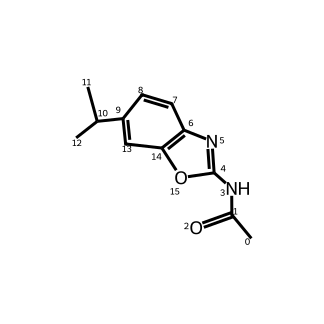 CC(=O)Nc1nc2ccc(C(C)C)cc2o1